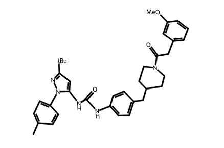 COc1cccc(CC(=O)N2CCC(Cc3ccc(NC(=O)Nc4cc(C(C)(C)C)nn4-c4ccc(C)cc4)cc3)CC2)c1